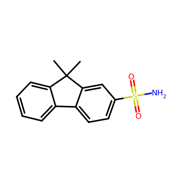 CC1(C)c2ccccc2-c2ccc(S(N)(=O)=O)cc21